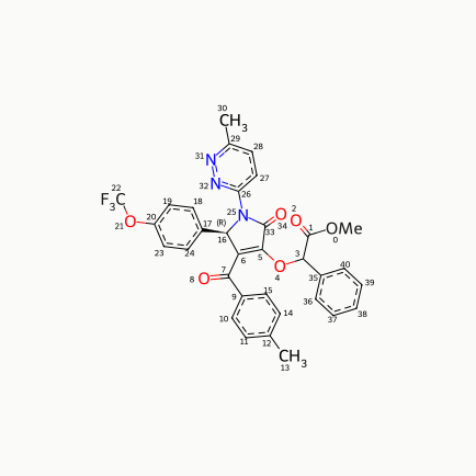 COC(=O)C(OC1=C(C(=O)c2ccc(C)cc2)[C@@H](c2ccc(OC(F)(F)F)cc2)N(c2ccc(C)nn2)C1=O)c1ccccc1